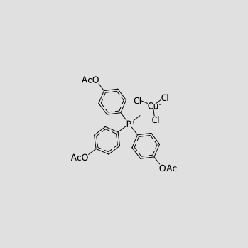 CC(=O)Oc1ccc([P+](C)(c2ccc(OC(C)=O)cc2)c2ccc(OC(C)=O)cc2)cc1.[Cl][Cu-]([Cl])[Cl]